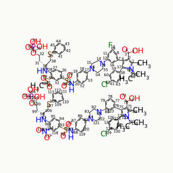 Cc1c(C(=O)O)c(-c2cc(F)cc(N3CCN(c4ccc(NS(=O)(=O)c5ccc(N[C@H](CCOP(=O)(O)O)CSc6ccccc6)c(S(C)(=O)=O)c5)cc4)CC3)c2)c(-c2ccc(Cl)cc2)n1C(C)C.Cc1c(C(=O)O)c(-c2cccc(N3CCN(c4ccc(NS(=O)(=O)c5ccc(N[C@H](CCOP(=O)(O)O)CSc6ccccc6)c([N+](=O)[O-])c5)cc4)CC3)c2)c(-c2ccc(Cl)cc2)n1C(C)C